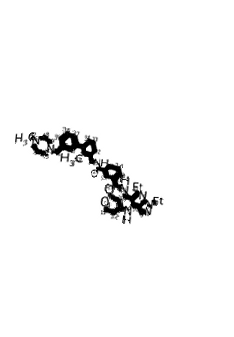 CCc1nc2c(cnn2CC)c(NC2CCOCC2)c1CNC(=O)c1cccc(C(=O)NCc2cccc(-c3cccc(CN4CCCN(C)CC4)c3)c2C)c1